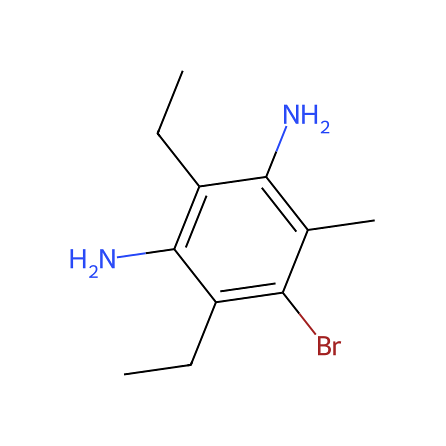 CCc1c(N)c(C)c(Br)c(CC)c1N